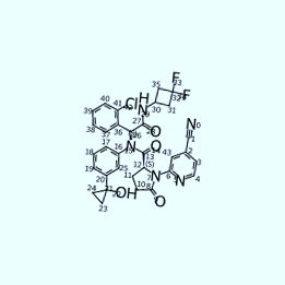 N#Cc1ccnc(N2C(=O)CC[C@H]2C(=O)N(c2cccc(C3(O)CC3)c2)[C@H](C(=O)NC2CC(F)(F)C2)c2ccccc2Cl)c1